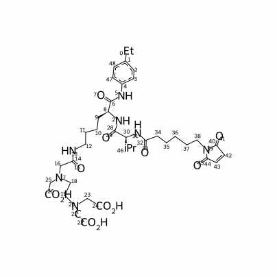 CCc1ccc(NC(=O)[C@H](CCCCNC(=O)CN(CCN(CC(=O)O)CC(=O)O)CC(=O)O)NC(=O)[C@@H](NC(=O)CCCCCN2C(=O)C=CC2=O)C(C)C)cc1